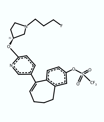 O=S(=O)(Oc1ccc2c(c1)CCCC=C2c1ccc(O[C@H]2CCN(CCCF)C2)nc1)C(F)(F)F